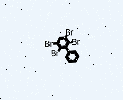 Brc1cc(Br)c(Br)c(-c2ccccc2)c1Br